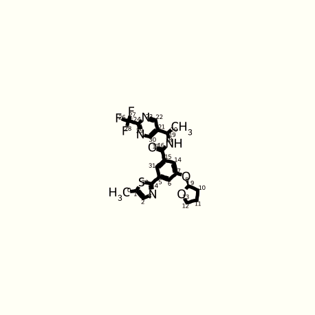 Cc1cnc(-c2cc(O[C@H]3CCCO3)cc(C(=O)NC(C)c3cnc(C(F)(F)F)nc3)c2)s1